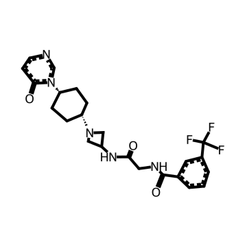 O=C(CNC(=O)c1cccc(C(F)(F)F)c1)NC1CN([C@H]2CC[C@@H](n3cnccc3=O)CC2)C1